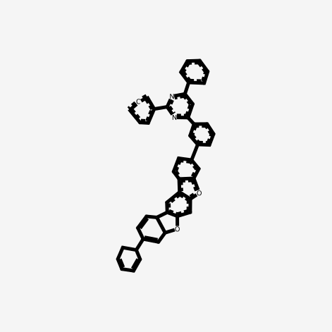 C1=CCC(C2=CC3Oc4cc5oc6cc(-c7cccc(-c8cc(-c9ccccc9)nc(-c9ccccc9)n8)c7)ccc6c5cc4C3C=C2)C=C1